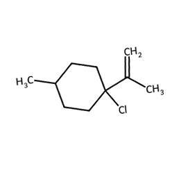 C=C(C)C1(Cl)CCC(C)CC1